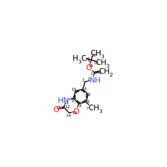 C=C(NCc1cc(C)c2c(c1)NC(=O)CO2)OC(C)(C)C